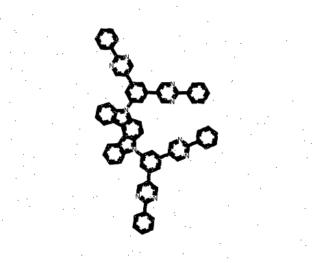 c1ccc(-c2ncc(-c3cc(-c4cnc(-c5ccccc5)nc4)cc(-n4c5ccccc5c5c6c7ccccc7n(-c7cc(-c8cnc(-c9ccccc9)nc8)cc(-c8cnc(-c9ccccc9)nc8)c7)c6ccc54)c3)cn2)cc1